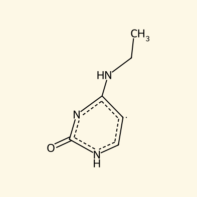 CCNc1[c]c[nH]c(=O)n1